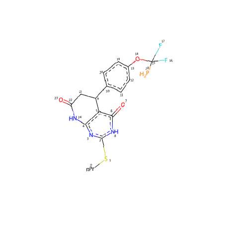 CCCSc1nc2c(c(=O)[nH]1)C(c1ccc(OC(F)(F)P)cc1)CC(=O)N2